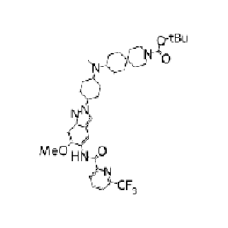 COc1cc2nn(C3CCC(N(C)C4CCC5(CC4)CCN(C(=O)OC(C)(C)C)CC5)CC3)cc2cc1NC(=O)c1cccc(C(F)(F)F)n1